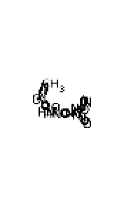 CN1CCN(C(=O)c2ccc(NC(=O)NC3CCN(c4nc(N5CCOCC5)c5oc6ncccc6c5n4)CC3)cc2)CC1